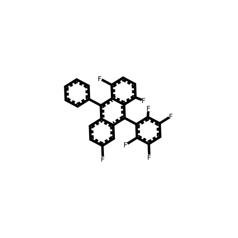 Fc1ccc2c(-c3ccccc3)c3c(F)ccc(F)c3c(-c3c(F)c(F)cc(F)c3F)c2c1